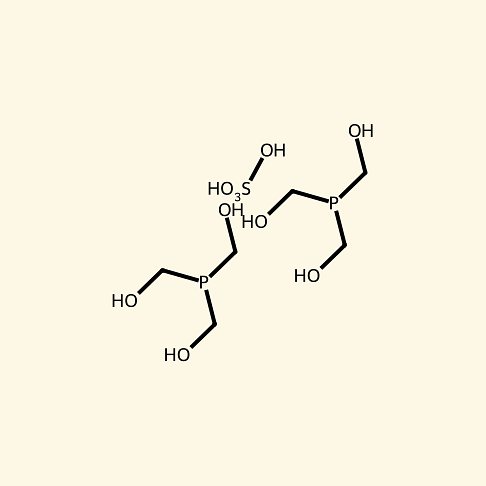 O=S(=O)(O)O.OCP(CO)CO.OCP(CO)CO